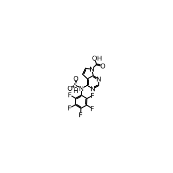 O=C(O)n1ccc2c(N(c3c(F)c(F)c(F)c(F)c3F)[SH](=O)=O)ncnc21